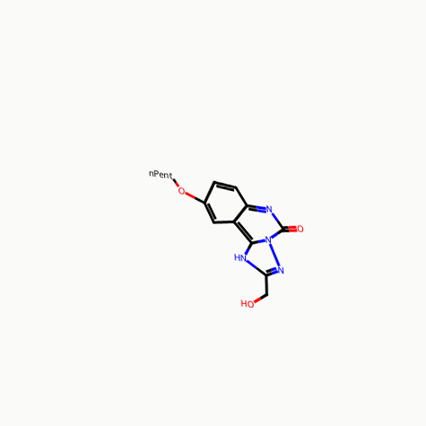 CCCCCOc1ccc2nc(=O)n3nc(CO)[nH]c3c2c1